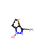 Cc1nn(O)c2ccsc12